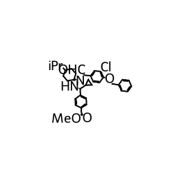 COC(=O)c1ccc([C@H](NC2(/N=C(\C=O)c3ccc(OCc4ccccc4)c(Cl)c3)CCC(C(C)C)CC2)C2CC2)cc1